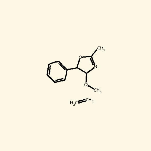 C=C.COC1N=C(C)OC1c1ccccc1